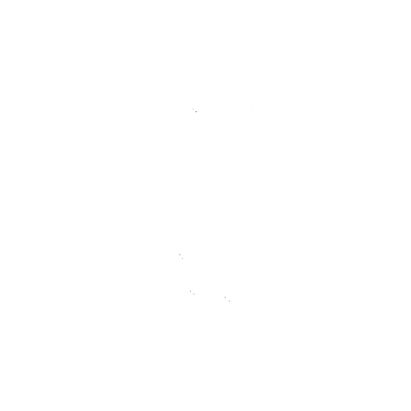 CCc1ncnc(N(Cl)CCc2ccc(Oc3ccc(C(F)(F)F)cn3)cc2)c1Cl